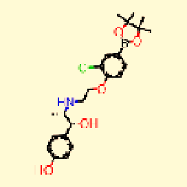 C[C@H](NCCOc1ccc(B2OC(C)(C)C(C)(C)O2)cc1Cl)[C@H](O)c1ccc(O)cc1